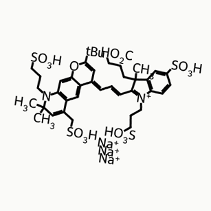 CC(C)(C)C1=CC(=CC=CC2=[N+](CCCS(=O)(=O)O)c3ccc(S(=O)(=O)O)cc3C2(C)CCCC(=O)O)c2cc3c(cc2O1)N(CCCS(=O)(=O)O)C(C)(C)C=C3CS(=O)(=O)O.[Na+].[Na+].[Na+]